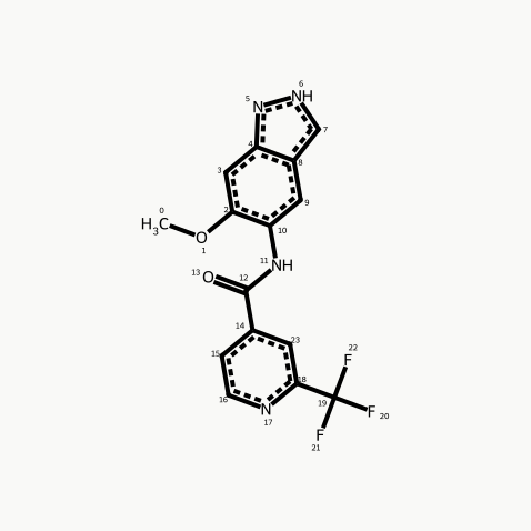 COc1cc2n[nH]cc2cc1NC(=O)c1ccnc(C(F)(F)F)c1